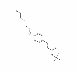 CC(C)(C)OC(=O)CCc1ccc(OCCCCCI)cc1